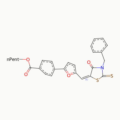 CCCCCOC(=O)c1ccc(-c2ccc(/C=C3/SC(=S)N(Cc4ccccc4)C3=O)o2)cc1